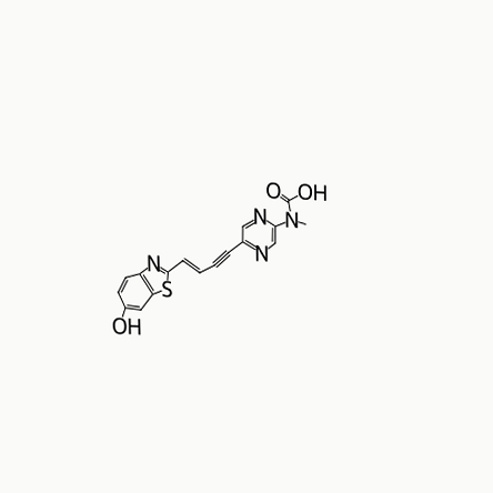 CN(C(=O)O)c1cnc(C#CC=Cc2nc3ccc(O)cc3s2)cn1